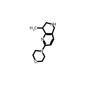 CC1CNCc2ccc(N3CCOCC3)nc21